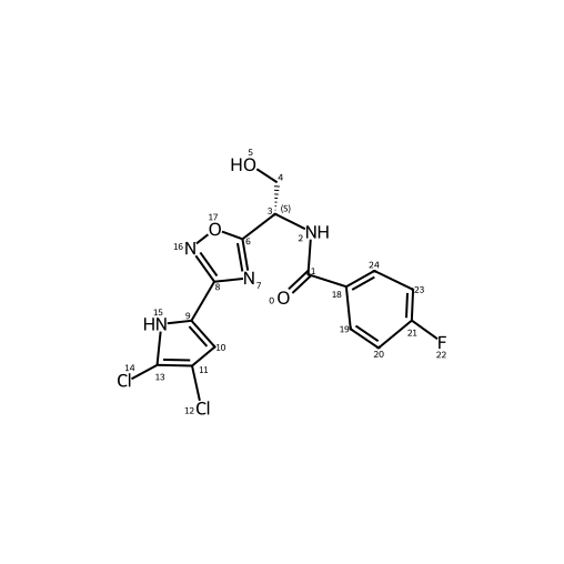 O=C(N[C@@H](CO)c1nc(-c2cc(Cl)c(Cl)[nH]2)no1)c1ccc(F)cc1